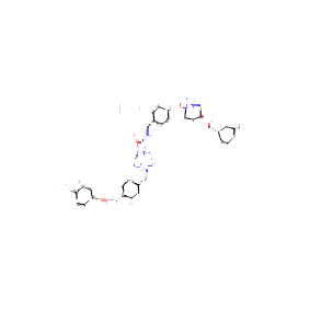 Cc1cc(Oc2ccc(OCc3cccc(F)c3)cn2)ccc1/C=C/C(=O)N1CCN(Cc2ccc(CCOc3ccc(F)cc3)cc2)CC1